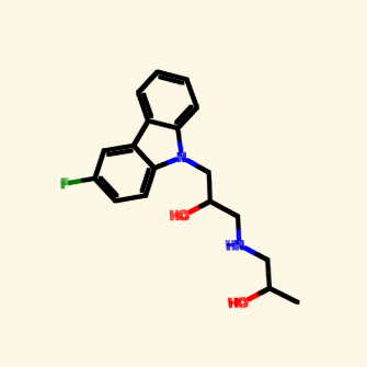 CC(O)CNCC(O)Cn1c2ccccc2c2cc(F)ccc21